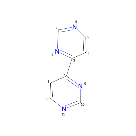 c1cc(-c2ccncn2)ncn1